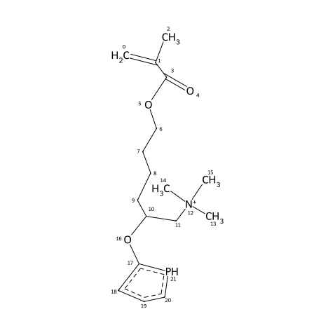 C=C(C)C(=O)OCCCCC(C[N+](C)(C)C)Oc1ccc[pH]1